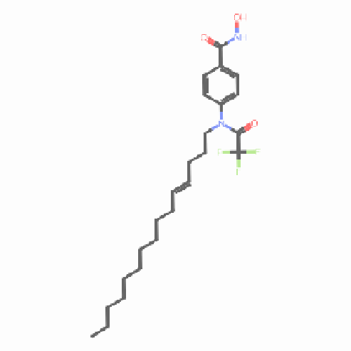 CCCCCCCCCCC=CCCCN(C(=O)C(F)(F)F)c1ccc(C(=O)NO)cc1